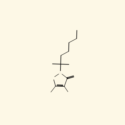 CCCCCC(C)(C)n1sc(Cl)c(Cl)c1=O